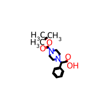 CC(C)(C)OC(=O)N1CCN(C(C(=O)O)c2ccccc2)CC1